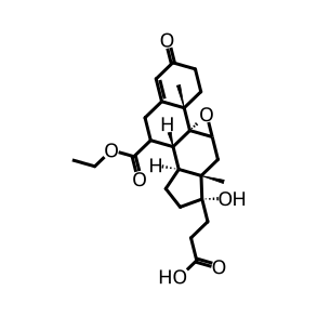 CCOC(=O)C1CC2=CC(=O)CC[C@]2(C)[C@@]23OC2C[C@@]2(C)[C@@H](CC[C@]2(O)CCC(=O)O)[C@H]13